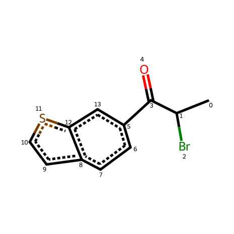 CC(Br)C(=O)c1ccc2ccsc2c1